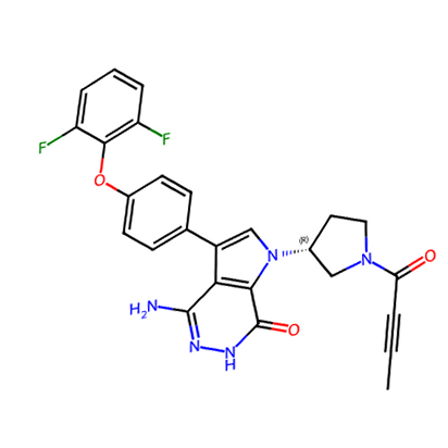 CC#CC(=O)N1CC[C@@H](n2cc(-c3ccc(Oc4c(F)cccc4F)cc3)c3c(N)n[nH]c(=O)c32)C1